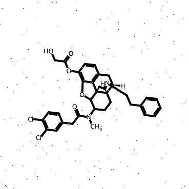 CN(C(=O)Cc1ccc(Cl)c(Cl)c1)C1CC[C@H]2[C@H]3Cc4ccc(OC(=O)CO)c5c4[C@@]2(CCN3CCc2ccccc2)C1O5